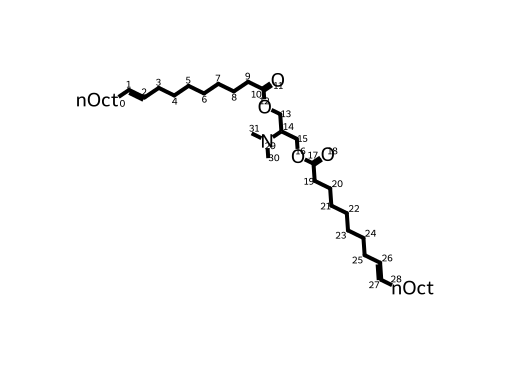 CCCCCCCCC=CCCCCCCCC(=O)OCC(COC(=O)CCCCCCCC=CCCCCCCCC)N(C)C